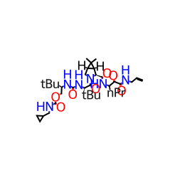 C=CCNC(=O)C(=O)C(CCC)NC(=O)[C@@H]1[C@@H]2[C@H](CN1C(=O)[C@@H](NC(=O)N[C@@H](COC(=O)NCC1CC1)C(C)(C)C)C(C)(C)C)C2(C)C